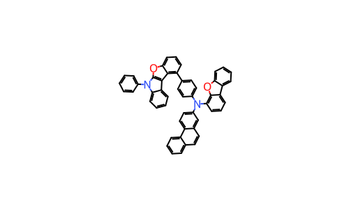 c1ccc(-n2c3ccccc3c3c4c(-c5ccc(N(c6ccc7c(ccc8ccccc87)c6)c6cccc7c6oc6ccccc67)cc5)cccc4oc32)cc1